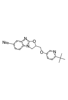 CC(C)(C)c1ccc(OCC2Cn3c(nc4cc(C#N)ccc43)O2)cn1